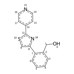 OCc1ccccc1-c1csc(-c2ccncc2)n1